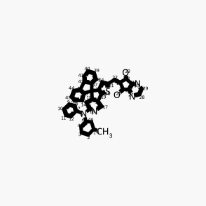 CC1C=CC=C(N(c2ccccc2)c2cc3c(cn2)-c2sc(C=C4C(=O)c5nccnc5C4=O)cc2C32c3ccccc3-c3ccccc32)C1